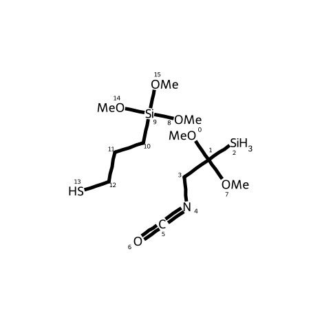 COC([SiH3])(CN=C=O)OC.CO[Si](CCCS)(OC)OC